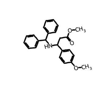 COC(=O)CC(NC(c1ccccc1)c1ccccc1)c1ccc(OC)cc1